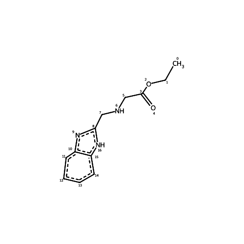 CCOC(=O)CNCc1nc2ccccc2[nH]1